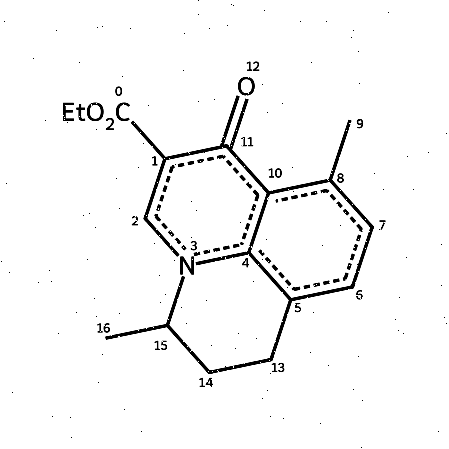 CCOC(=O)c1cn2c3c(ccc(C)c3c1=O)CCC2C